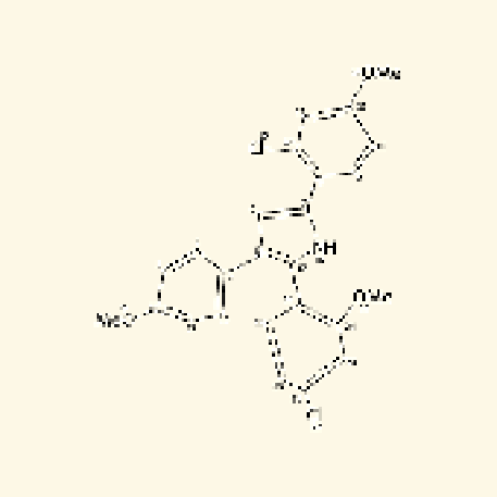 COc1ccc(-c2cc(-c3ccc(OC)cc3Cl)[nH]c2-c2ccc(Cl)cc2OC)cc1